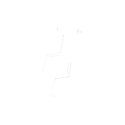 CC[C@@H](I)c1ccc(O)cc1